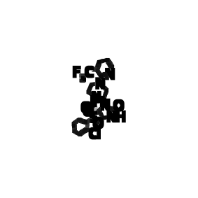 CC(C)N1C(=O)NC[C@@]1(C(=O)N1CCN(c2ncccc2C(F)(F)F)CC1)S(=O)(=O)c1ccccc1Cl